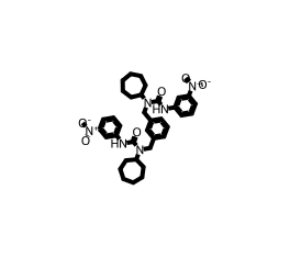 O=C(Nc1cccc([N+](=O)[O-])c1)N(Cc1cccc(CN(C(=O)Nc2cccc([N+](=O)[O-])c2)C2CCCCCC2)c1)C1CCCCCC1